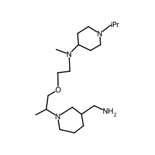 CC(C)N1CCC(N(C)CCOCC(C)N2CCCC(CN)C2)CC1